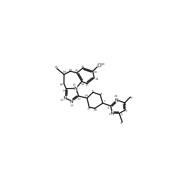 Cc1cc(C)nc(C2CCC(c3nnc4n3-c3ccc(Cl)cc3CC(C)C4)CC2)n1